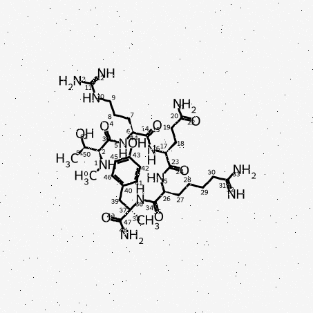 CN[C@H](C(=O)N[C@@H](CCCNC(=N)N)C(=O)N[C@@H](CCC(N)=O)C(=O)N[C@@H](CCCCC(=N)N)C(=O)N[C@](C)(Cc1ccc(O)cc1)C(N)=O)[C@@H](C)O